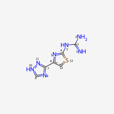 N=C(N)Nc1nc(-c2nc[nH]n2)cs1